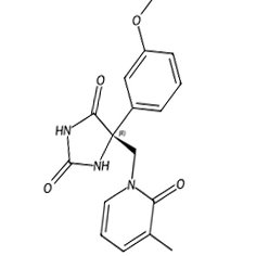 COc1cccc([C@]2(Cn3cccc(C)c3=O)NC(=O)NC2=O)c1